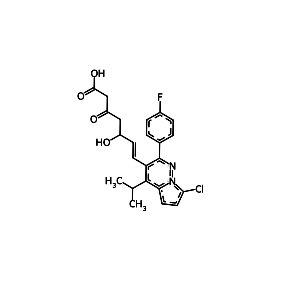 CC(C)c1c(/C=C/C(O)CC(=O)CC(=O)O)c(-c2ccc(F)cc2)nn2c(Cl)ccc12